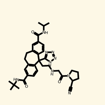 CC(C)NC(=O)c1ccc2c(c1)CCc1cc(C(=O)NC(C)(C)C)ccc1C2(CCNCC(=O)N1CCCC1C#N)c1nnn[nH]1